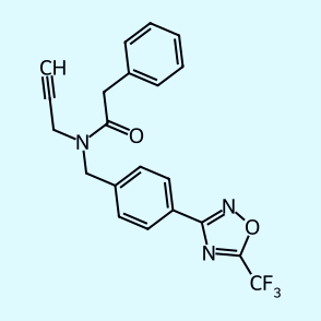 C#CCN(Cc1ccc(-c2noc(C(F)(F)F)n2)cc1)C(=O)Cc1ccccc1